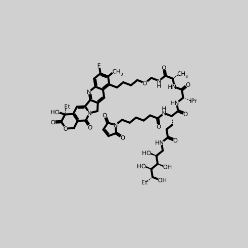 CC[C@@H](O)[C@@H](O)[C@H](O)[C@@H](O)CNC(=O)CC[C@H](NC(=O)CCCCCN1C(=O)C=CC1=O)C(=O)N[C@H](C(=O)N[C@@H](C)C(=O)NCOCCCCc1c(C)c(F)cc2nc3c(cc12)Cn1c-3cc2c(c1=O)COC(=O)[C@]2(O)CC)C(C)C